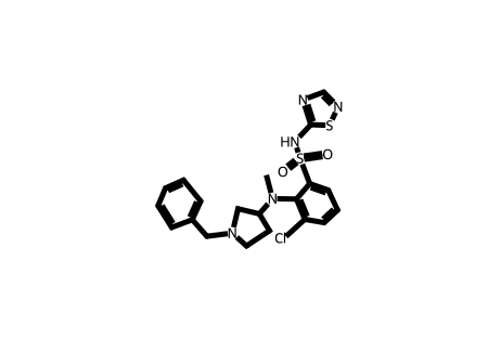 CN(c1c(Cl)cccc1S(=O)(=O)Nc1ncns1)C1CCN(Cc2ccccc2)C1